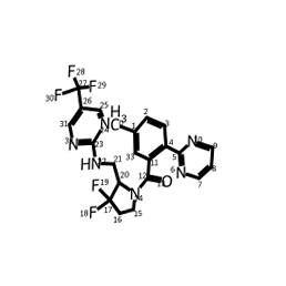 Cc1ccc(-c2ncccn2)c(C(=O)N2CCC(F)(F)C2CNc2ncc(C(F)(F)F)cn2)c1